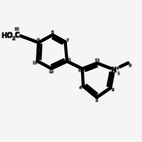 C[n+]1cccc(-c2ccc(C(=O)O)cc2)c1